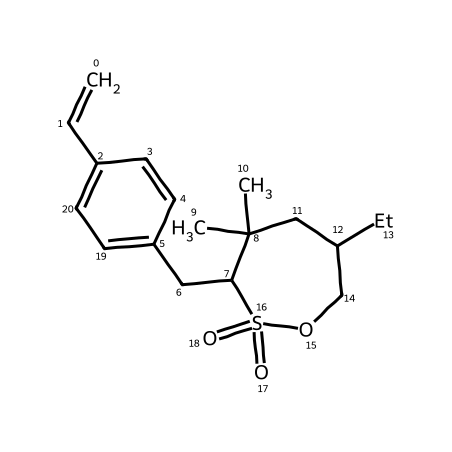 C=Cc1ccc(CC2C(C)(C)CC(CC)COS2(=O)=O)cc1